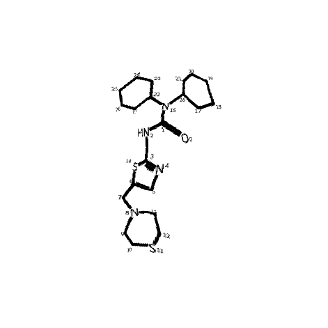 O=C(Nc1ncc(CN2CCSCC2)s1)N(C1CCCCC1)C1CCCCC1